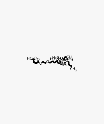 CCCC[Si](C)(C)C(C)(CC)O[Si](C)(C)C(C)(CC)CCCOCCOC(=O)/C=C\C(=O)O